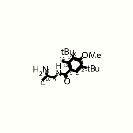 COc1c(C(C)(C)C)cc(C(=O)NCC(C)N)c(C)c1C(C)(C)C